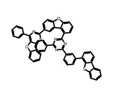 c1ccc(-c2nc(-c3cccc(-c4cccc5c4sc4ccccc45)c3)nc(-c3cccc4oc5ccc(-c6nc(-c7ccccc7)c7oc8ccccc8c7n6)cc5c34)n2)cc1